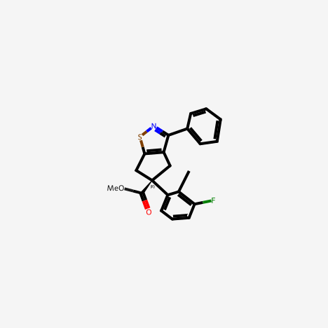 COC(=O)[C@@]1(c2cccc(F)c2C)Cc2snc(-c3ccccc3)c2C1